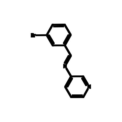 Brc1cccc(C=Nc2cccnc2)c1